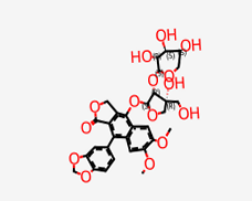 COc1cc2c(O[C@@H]3OC[C@](O)(CO)[C@H]3O[C@@H]3OC[C@H](O)[C@H](O)[C@H]3O)c3c(c(-c4ccc5c(c4)OCO5)c2cc1OC)C(=O)OC3